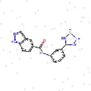 O=C(Nc1cccc(C2NNNN2)c1)c1ccc2[nH]ncc2c1